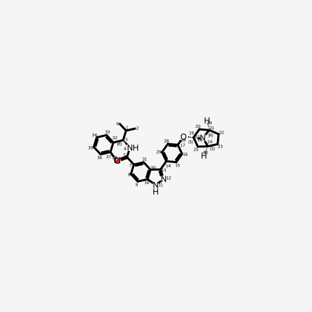 CC(C)[C@@H](NC(=O)c1ccc2[nH]nc(-c3ccc(O[C@@H]4C[C@H]5CC[C@@H](C4)N5C)cc3)c2c1)c1ccccc1Cl